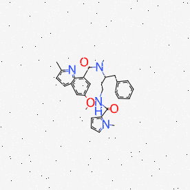 COc1cc(C(=O)N(C)C(CCNC(=O)c2cccn2C)Cc2ccccc2)c2nc(C)ccc2c1